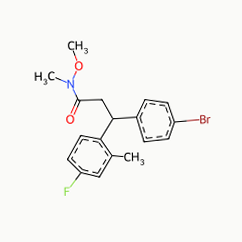 CON(C)C(=O)CC(c1ccc(Br)cc1)c1ccc(F)cc1C